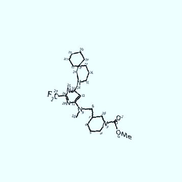 COC(=O)N1CCCC(CN(C)c2cc(N3CCCC4(CCCCC4)C3)nc(C(F)(F)F)n2)C1